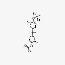 CCC(C)C(=O)Oc1ccc(C(C)(C)c2ccc(OC(C)(CC)CC)c(C)c2)cc1C